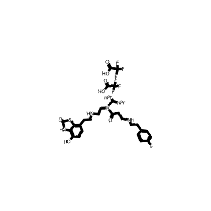 CCCC(CCC)N(CCNCCc1ccc(O)c2[nH]c(=O)sc12)C(=O)CCNCCc1ccc(F)cc1.O=C(O)C(F)(F)F.O=C(O)C(F)(F)F